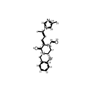 C/C(=C\C=C1\C(=O)N(Cc2ccccc2Br)CCN1C=O)n1cnc(C)c1